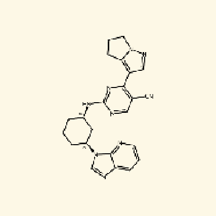 N#Cc1cnc(N[C@@H]2CCC[C@H](n3cnc4cccnc43)C2)nc1-c1cnn2c1CCC2